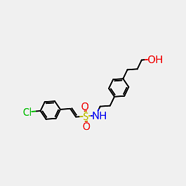 O=S(=O)(C=Cc1ccc(Cl)cc1)NCCc1ccc(CCCO)cc1